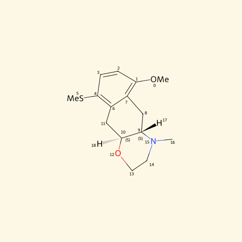 COc1ccc(SC)c2c1C[C@H]1[C@H](C2)OCCN1C